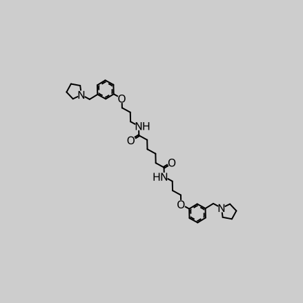 O=C(CCCCC(=O)NCCCOc1cccc(CN2CCCC2)c1)NCCCOc1cccc(CN2CCCC2)c1